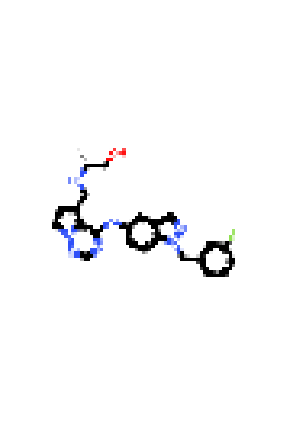 C[C@H](CO)NCc1ccn2ncnc(Nc3ccc4c(cnn4Cc4cccc(F)c4)c3)c12